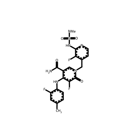 CNS(=O)(=O)Nc1nccc(Cn2cc(C(N)=O)c(Nc3ccc(C)cc3F)c(F)c2=O)c1F